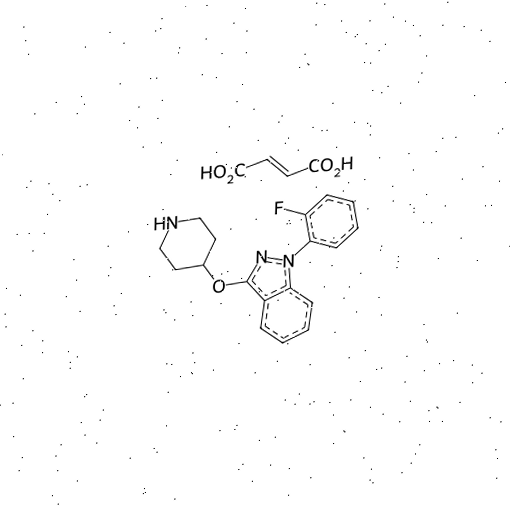 Fc1ccccc1-n1nc(OC2CCNCC2)c2ccccc21.O=C(O)C=CC(=O)O